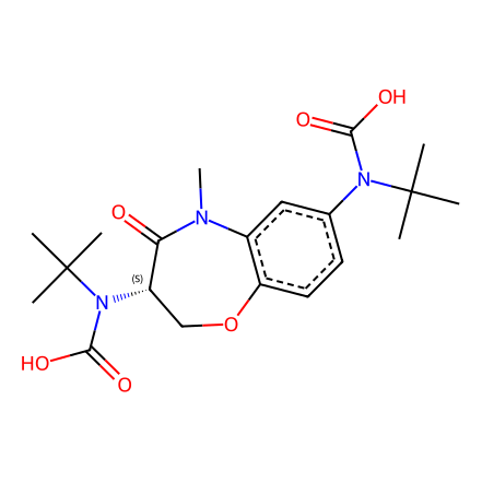 CN1C(=O)[C@@H](N(C(=O)O)C(C)(C)C)COc2ccc(N(C(=O)O)C(C)(C)C)cc21